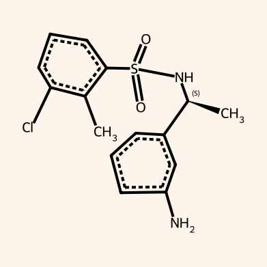 Cc1c(Cl)cccc1S(=O)(=O)N[C@@H](C)c1cccc(N)c1